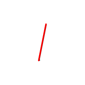 CCCCCCCCCCCCCCCCCCCCCCCCCCCCCCCCCCCCCCCCCCCCCCCCCCCCCCCCCCCCCCCCCCCCCCCCCCCCCCCCCCCCCCCCCCCCCCCCCC(C)CC